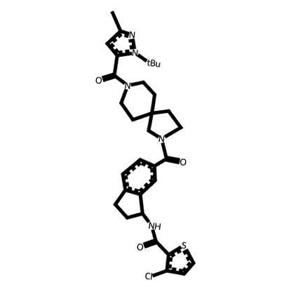 Cc1cc(C(=O)N2CCC3(CCN(C(=O)c4ccc5c(c4)C(NC(=O)c4sccc4Cl)CC5)C3)CC2)n(C(C)(C)C)n1